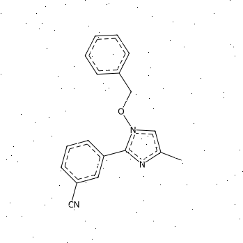 Cc1cn(OCc2ccccc2)c(-c2cccc(C#N)c2)n1